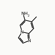 Cc1cc2nccn2cc1N